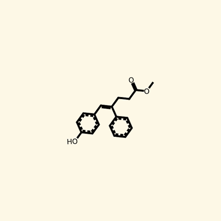 COC(=O)CCC(=Cc1ccc(O)cc1)c1ccccc1